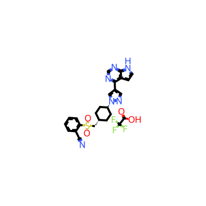 N#Cc1ccccc1S(=O)(=O)C[C@H]1CC[C@@H](n2cc(-c3ncnc4[nH]ccc34)cn2)CC1.O=C(O)C(F)(F)F